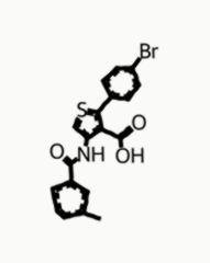 Cc1cccc(C(=O)Nc2csc(-c3ccc(Br)cc3)c2C(=O)O)c1